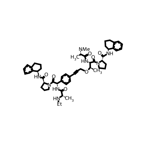 CCN[C@@H](C)C(=O)N[C@H](C(=O)N1CCC[C@H]1C(=O)N[C@@H]1CCCc2ccccc21)c1ccc(C#CCO[C@H](C)[C@H](NC(=O)[C@H](C)NC)C(=O)N2CCC[C@H]2C(=O)N[C@@H]2CCCc3ccccc32)cc1